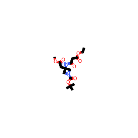 CCOC(=O)CC(=O)NC1(CC(=O)OC)CN(C(=O)OC(C)(C)C)C1